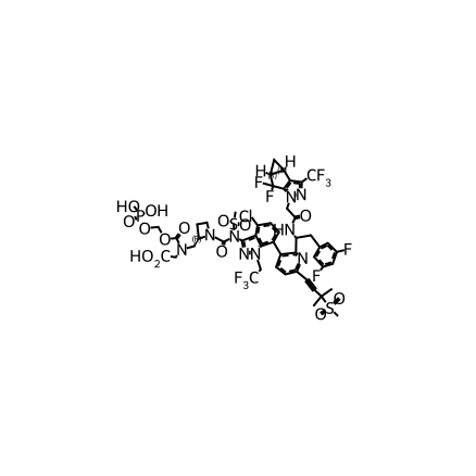 CC(C)(C#Cc1ccc(-c2ccc(Cl)c3c(N(C(=O)N4CC[C@@H]4CN(CC(=O)O)C(=O)OCOP(=O)(O)O)S(C)(=O)=O)nn(CC(F)(F)F)c23)c(C(Cc2cc(F)cc(F)c2)NC(=O)Cn2nc(C(F)(F)F)c3c2C(F)(F)[C@@H]2C[C@H]32)n1)S(C)(=O)=O